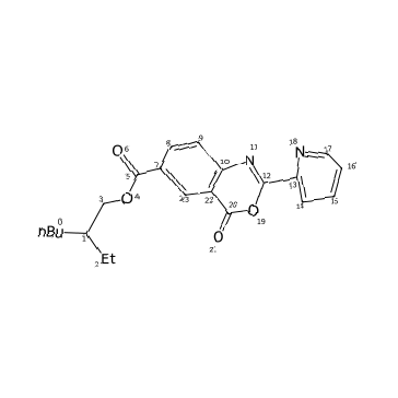 CCCCC(CC)COC(=O)c1ccc2nc(-c3ccccn3)oc(=O)c2c1